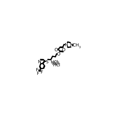 CN1CCN(Cc2cc(=O)c(OCCCCCSc3ccnc4cc(C(F)(F)F)ccc34)co2)CC1.Cl.Cl.Cl